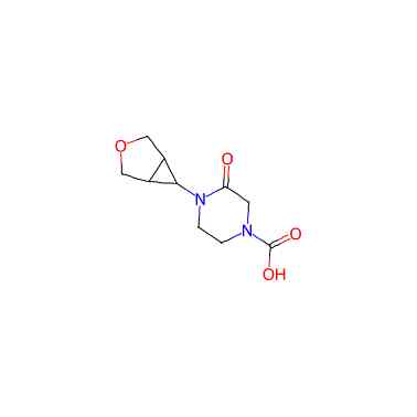 O=C(O)N1CCN(C2C3COCC32)C(=O)C1